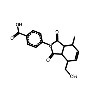 CC1C=CC(CO)C2C(=O)N(c3ccc(C(=O)O)cc3)C(=O)C12